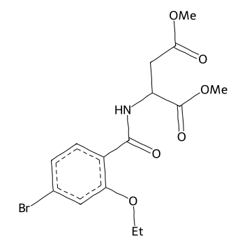 CCOc1cc(Br)ccc1C(=O)NC(CC(=O)OC)C(=O)OC